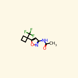 CC(=O)Nc1cc(C2(C(F)(F)F)CCC2)on1